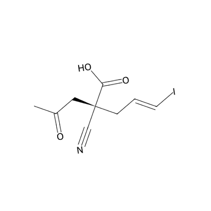 CC(=O)C[C@](C#N)(C/C=C/I)C(=O)O